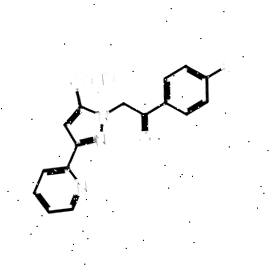 CCOC(=O)c1cc(-c2ccccn2)nn1CC(=O)c1ccc(Cl)cc1